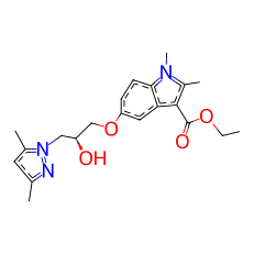 CCOC(=O)c1c(C)n(C)c2ccc(OC[C@@H](O)Cn3nc(C)cc3C)cc12